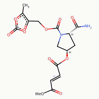 COC(=O)/C=C/C(=O)O[C@@H]1C[C@@H](C(N)=O)N(C(=O)OCc2oc(=O)oc2C)C1